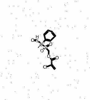 C=C(Cl)C(=O)OCS(=O)(=O)[N@@+](C)([SH]=O)c1ccccc1